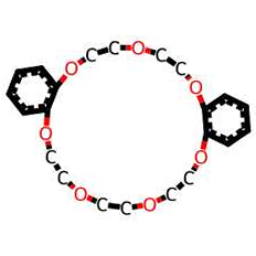 c1ccc2c(c1)OCCOCCOCCOc1ccccc1OCCOCCO2